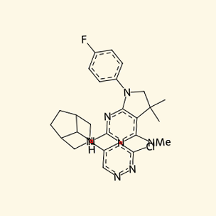 CNc1nc(NC2C3CCC2CN(c2cnnc(Cl)c2)C3)nc2c1C(C)(C)CN2c1ccc(F)cc1